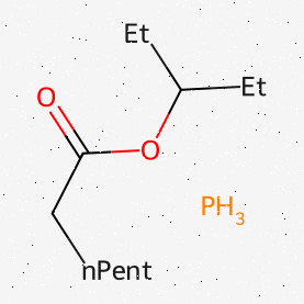 CCCCCCC(=O)OC(CC)CC.P